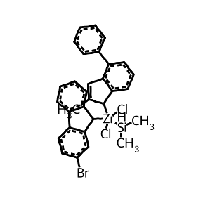 CC1=Cc2c(-c3ccccc3)cccc2[CH]1[Zr]([Cl])([Cl])([CH]1c2ccccc2-c2ccc(Br)cc21)[SiH](C)C